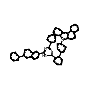 c1ccc(C2=NC(c3ccccc3-c3ccc(-n4c5ccccc5c5c6ccccc6ccc54)cc3)NC(c3ccc4cc(-c5ccccc5)ccc4c3)=N2)cc1